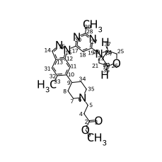 COC(=O)CCN1CCC(c2cc3c(cnn3-c3cc(N4C[C@@H]5C[C@H]4CO5)nc(C)n3)cc2C)CC1